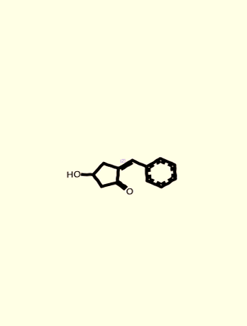 O=C1CC(O)C/C1=C/c1ccccc1